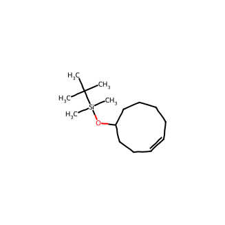 CC(C)(C)[Si](C)(C)OC1CC/C=C\CCCC1